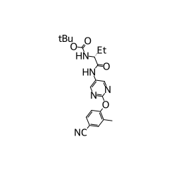 CC[C@@H](NC(=O)OC(C)(C)C)C(=O)Nc1cnc(Oc2ccc(C#N)cc2C)nc1